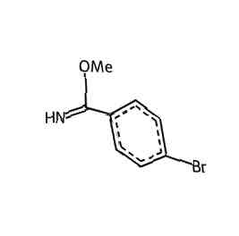 COC(=N)c1ccc(Br)cc1